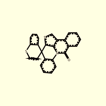 O=c1c2ccccc2c2csc3c2n1-c1ccccc1C31c2ccccc2Sc2ccccc21